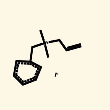 C=CC[N+](C)(C)Cc1ccccc1.[I-]